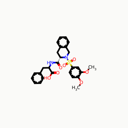 COc1ccc(S(=O)(=O)N2Cc3ccccc3C[C@H]2C(=O)NC(Cc2ccccc2)C(=O)O)cc1OC